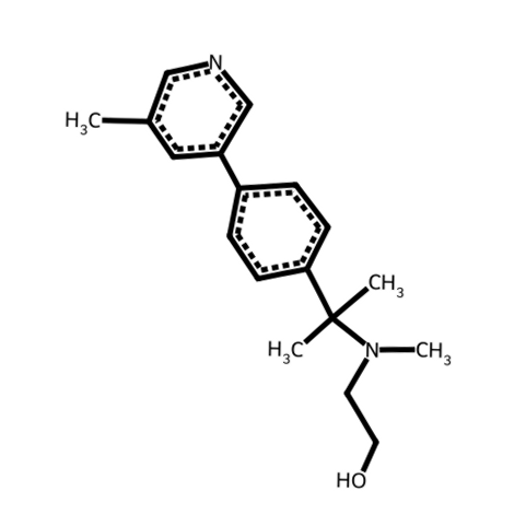 Cc1cncc(-c2ccc(C(C)(C)N(C)CCO)cc2)c1